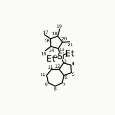 CC[Si](CC)(C1CCC2CCCCCC21)C1C(C)C(C)C(C)C1C